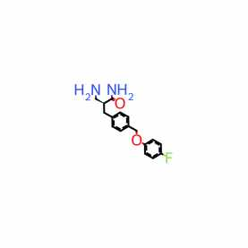 NC[C@H](Cc1ccc(COc2ccc(F)cc2)cc1)C(N)=O